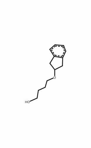 OCCCCOC1Cc2ccccc2C1